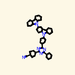 N#Cc1ccc(-c2nc(-c3ccccc3)nc(-c3ccc(-n4c5ccccc5c5cc(-n6c7ccccc7c7ccccc76)ccc54)cc3)n2)cc1